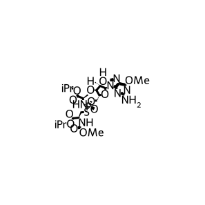 COC(=O)N[C@H](CS[P@@](=O)(N[C@H](C)C(=O)OC(C)C)OC[C@H]1O[C@@H](n2cnc3c(OC)nc(N)nc32)[C@](C)(O)[C@@H]1O)C(=O)OC(C)C